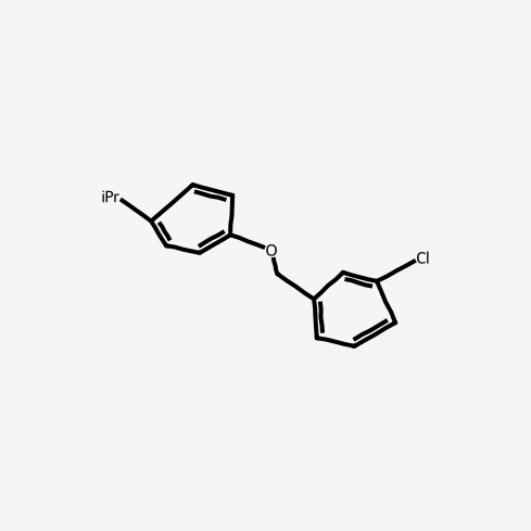 CC(C)c1ccc(OCc2cccc(Cl)c2)cc1